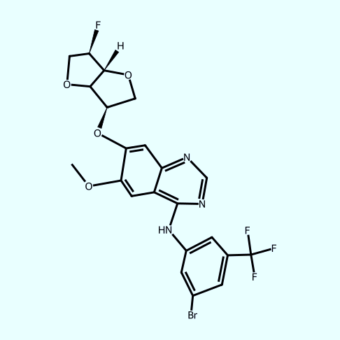 COc1cc2c(Nc3cc(Br)cc(C(F)(F)F)c3)ncnc2cc1O[C@@H]1CO[C@@H]2C1OC[C@H]2F